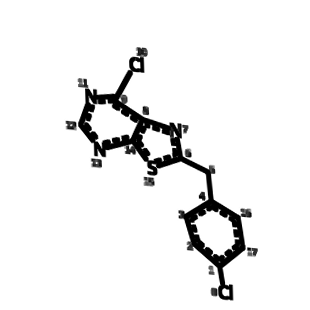 Clc1ccc(Cc2nc3c(Cl)ncnc3s2)cc1